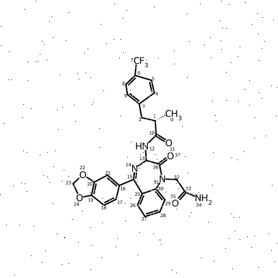 C[C@@H](Cc1ccc(C(F)(F)F)cc1)C(=O)NC1N=C(c2ccc3c(c2)OCO3)c2ccccc2N(CC(N)=O)C1=O